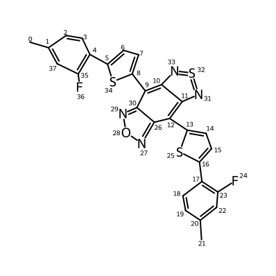 Cc1ccc(-c2ccc(-c3c4c(c(-c5ccc(-c6ccc(C)cc6F)s5)c5nonc35)N=S=N4)s2)c(F)c1